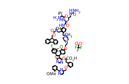 COc1ccccc1-c1nccc(COc2ccccc2C[C@@H](Oc2ncnc3sc(-c4ccc(F)cc4)c(-c4ccc(OCCN5CC[N+](C)(Cc6ccc(NC(=O)[C@H](CCCNC(N)=O)NC(=O)[C@@H](N)C(C)C)cc6CN(C)C(=O)OCC6c7ccccc7-c7ccccc76)CC5)c(Cl)c4C)c23)C(=O)O)n1.O=C([O-])C(F)(F)F